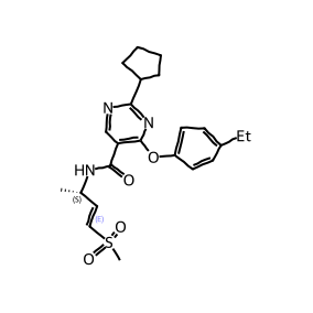 CCc1ccc(Oc2nc(C3CCCC3)ncc2C(=O)N[C@@H](C)/C=C/S(C)(=O)=O)cc1